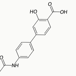 CC(=O)Nc1ccc(-c2ccc(C(=O)O)c(O)c2)cc1